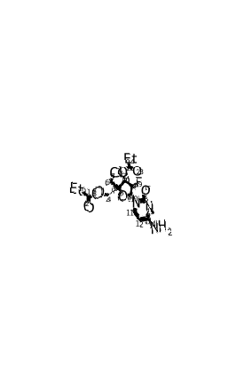 CCC(=O)OC[C@@]1(CCl)O[C@@H](n2ccc(N)nc2=O)[C@H](F)[C@@H]1OC(=O)CC